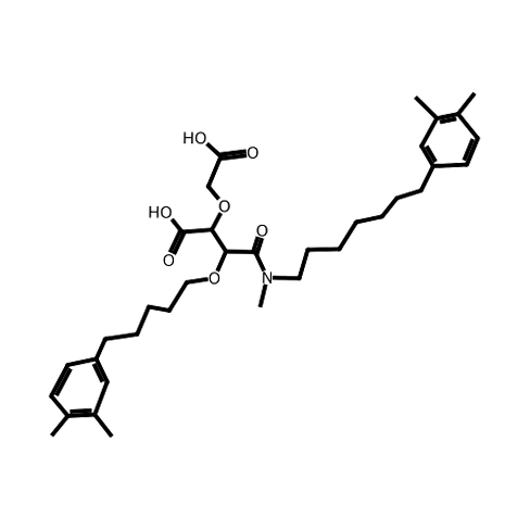 Cc1ccc(CCCCCCCN(C)C(=O)C(OCCCCCc2ccc(C)c(C)c2)C(OCC(=O)O)C(=O)O)cc1C